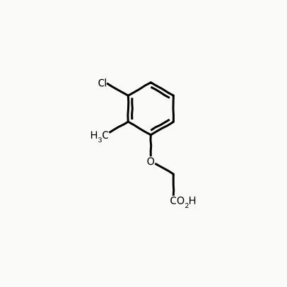 Cc1c(Cl)cccc1OCC(=O)O